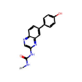 CC(C)NC(=O)Nc1cnc2ccc(-c3ccc(O)cc3)cc2n1